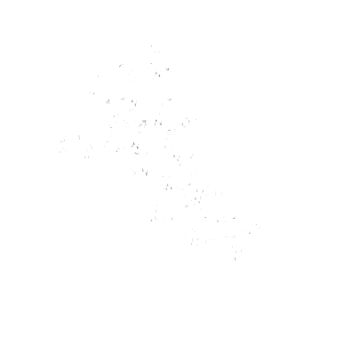 CC#CCn1c(N2CCCC(NC(=O)OC(C)(C)C)C2)nc2c1c(=O)n(Cc1nc(C)c3ccccc3n1)c(=O)n2CC(=O)OCC